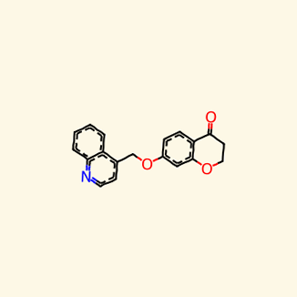 O=C1CCOc2cc(OCc3ccnc4ccccc34)ccc21